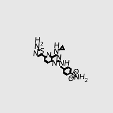 Nc1ncc(-c2ccc3nc(NCc4ccc(S(N)(=O)=O)cc4)nc(NC4CC4)c3n2)s1